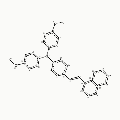 COc1ccc(N(c2ccc(/C=C/c3cccc4ccccc34)cc2)c2ccc(OC)cc2)cc1